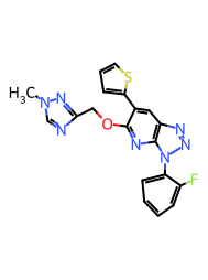 Cn1cnc(COc2nc3c(cc2-c2cccs2)nnn3-c2ccccc2F)n1